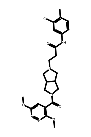 COc1cc(C(=O)N2CC3CN(CCC(=O)Nc4ccc(C)c(Cl)c4)CC3C2)c(OC)nn1